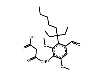 CCCCCC(CC)(CC)c1c(C=O)cc(OC)c(O)c1OC.O=C(O)CC(=O)O